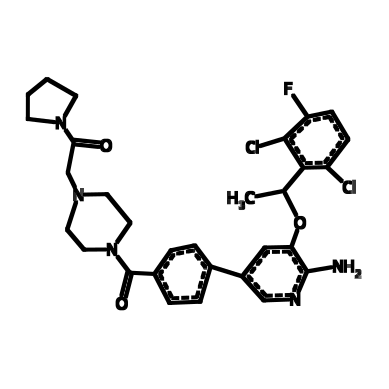 CC(Oc1cc(-c2ccc(C(=O)N3CCN(CC(=O)N4CCCC4)CC3)cc2)cnc1N)c1c(Cl)ccc(F)c1Cl